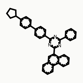 c1ccc(-c2nc(-c3ccc(-c4ccc(C5CCCC5)cc4)cc3)nc(-c3cc4ccccc4c4ccccc34)n2)cc1